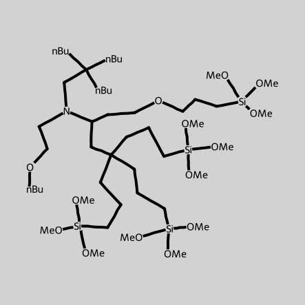 CCCCOCCN(CC(CCCC)(CCCC)CCCC)C(CCOCCC[Si](OC)(OC)OC)CC(CCC[Si](OC)(OC)OC)(CCC[Si](OC)(OC)OC)CCC[Si](OC)(OC)OC